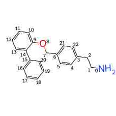 NCCc1ccc(COc2ccccc2-c2ccccc2)cc1